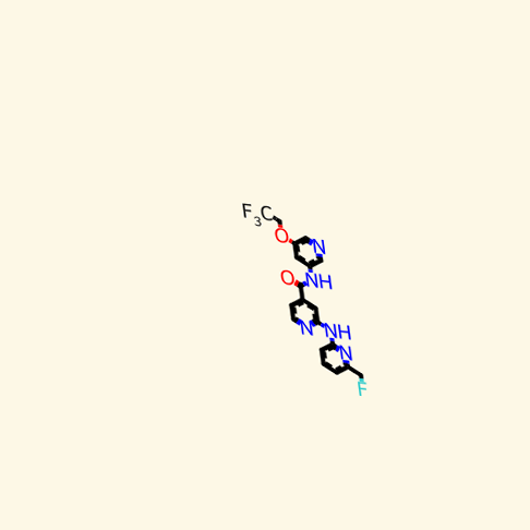 O=C(Nc1cncc(OCC(F)(F)F)c1)c1ccnc(Nc2cccc(CF)n2)c1